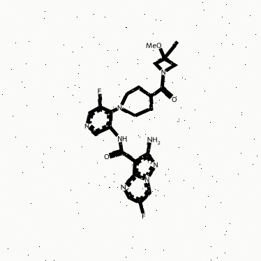 COC1(C)CN(C(=O)C2CCN(c3c(F)cncc3NC(=O)c3c(N)nn4cc(F)cnc34)CC2)C1